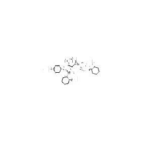 Fc1ccccc1N1CCN(c2ncnc3c2nc(-c2ccccc2Cl)n3-c2ccc(Cl)cc2)CC1